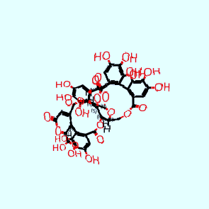 O=C1C=C2C(=O)O[C@H]3[C@H](OC(=O)c4cc(O)c(O)c(O)c4)O[C@@H]4COC(=O)c5cc(O)c(O)c(O)c5-c5c(cc(O)c(O)c5O)C(=O)O[C@H]3[C@@H]4OC(=O)c3cc(O)c(O)c(O)c3[C@H]2[C@@H](C(=O)O)O1